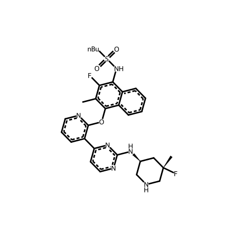 CCCCS(=O)(=O)Nc1c(F)c(C)c(Oc2ncccc2-c2ccnc(N[C@@H]3CNC[C@@](C)(F)C3)n2)c2ccccc12